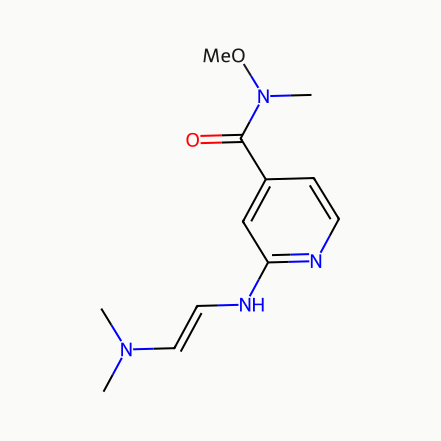 CON(C)C(=O)c1ccnc(N/C=C/N(C)C)c1